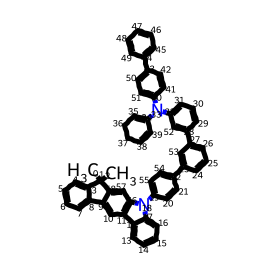 CC1(C)c2ccccc2-c2cc3c4ccccc4n(-c4ccc(-c5cccc(-c6cccc(N(C7=CCCC=C7)c7ccc(-c8ccccc8)cc7)c6)c5)cc4)c3cc21